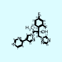 C[C@@H](n1cc(-c2ccncn2)cn1)[C@](O)(Cn1cncn1)c1ccc(F)cc1F